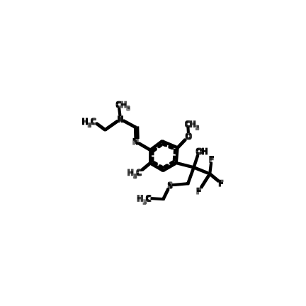 CCSCC(O)(c1cc(C)c(N=CN(C)CC)cc1OC)C(F)(F)F